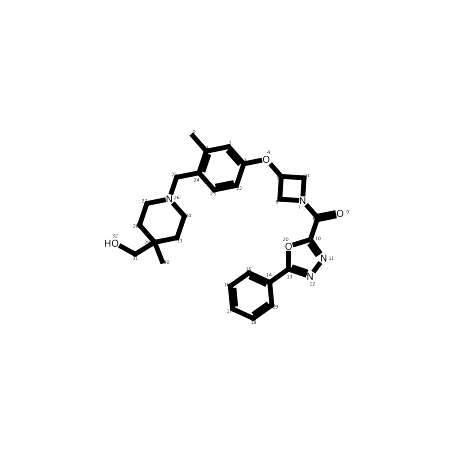 Cc1cc(OC2CN(C(=O)c3nnc(-c4ccccc4)o3)C2)ccc1CN1CCC(C)(CO)CC1